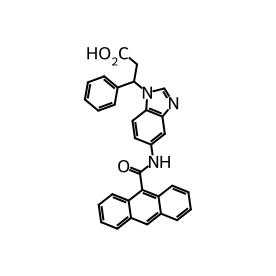 O=C(O)CC(c1ccccc1)n1cnc2cc(NC(=O)c3c4ccccc4cc4ccccc34)ccc21